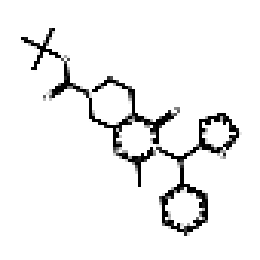 Cc1nc2c(c(=O)n1C(c1ccccc1)c1cccs1)CCN(C(=O)OC(C)(C)C)C2